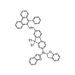 CCC1(CC)c2cc(/C=C/c3c(-c4ccccc4)c4ccccc4c4ccccc34)ccc2-c2ccc(N(c3cc4ccccc4o3)C3Cc4ccccc4O3)cc21